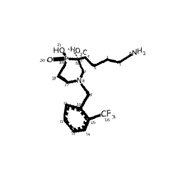 NCCCC[C@@]1(C(=O)O)CN(Cc2ccccc2C(F)(F)F)CCP1(=O)O